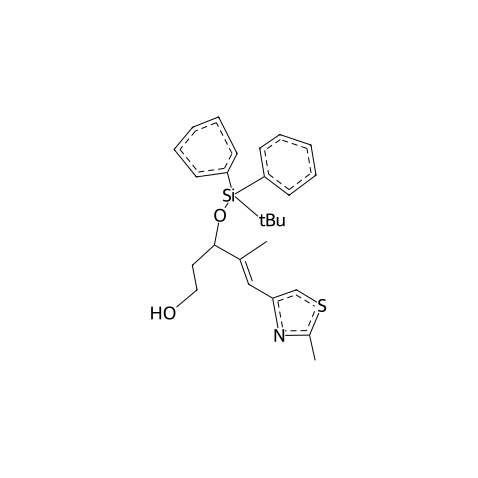 C/C(=C\c1csc(C)n1)C(CCO)O[Si](c1ccccc1)(c1ccccc1)C(C)(C)C